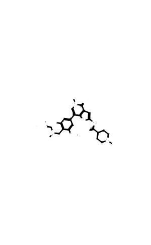 COc1cc(-c2cn(C)c(=O)c3cc(NC(=O)C4CCN(C)CC4)sc23)cc(OC)c1CN(C)CC(=O)O